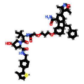 Cc1ccsc1-c1ccc(CNC(=O)[C@@H]2C[C@@H](O)CN2C(=O)[C@@H](NC(=O)COCCCOc2ccc3c(c2)-c2c(C(N)=O)cc(-c4c(C)noc4C)cc2C3Cc2ccccc2)C(C)(C)C)cc1